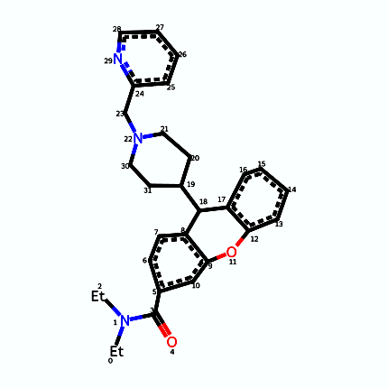 CCN(CC)C(=O)c1ccc2c(c1)Oc1ccccc1C2C1CCN(Cc2ccccn2)CC1